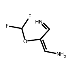 N=C/C(=C\N)OC(F)F